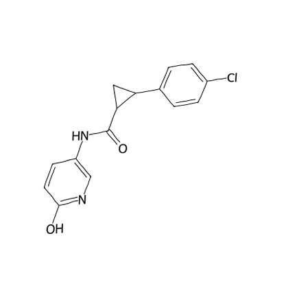 O=C(Nc1ccc(O)nc1)C1CC1c1ccc(Cl)cc1